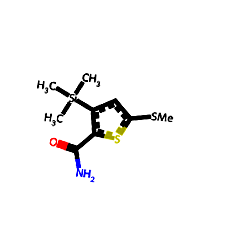 CSc1cc([Si](C)(C)C)c(C(N)=O)s1